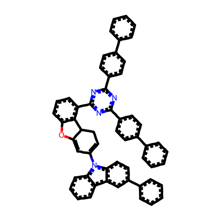 C1=C2Oc3cccc(-c4nc(-c5ccc(-c6ccccc6)cc5)nc(-c5ccc(-c6ccccc6)cc5)n4)c3C2CC=C1n1c2ccccc2c2cc(-c3ccccc3)ccc21